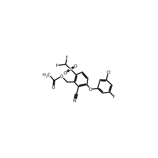 CC(=O)OCc1c(S(=O)(=O)C(F)F)ccc(Oc2cc(F)cc(Cl)c2)c1C#N